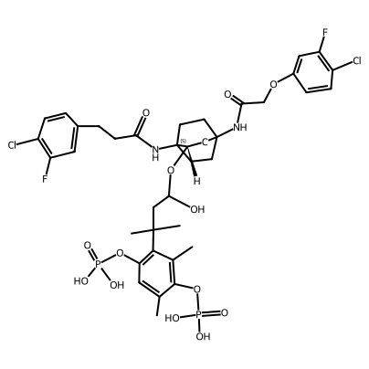 Cc1cc(OP(=O)(O)O)c(C(C)(C)CC(O)O[C@H]2CC3(NC(=O)COc4ccc(Cl)c(F)c4)CCC2(NC(=O)CCc2ccc(Cl)c(F)c2)CC3)c(C)c1OP(=O)(O)O